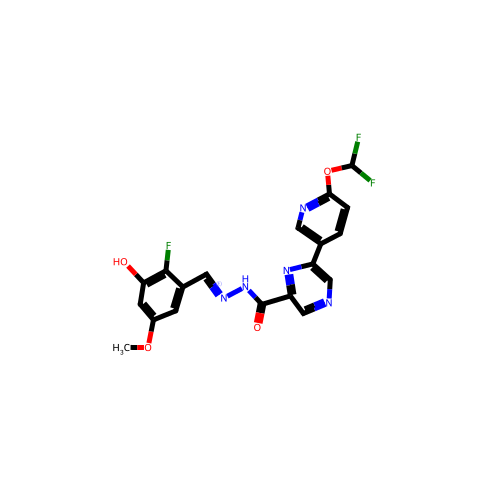 COc1cc(O)c(F)c(/C=N/NC(=O)c2cncc(-c3ccc(OC(F)F)nc3)n2)c1